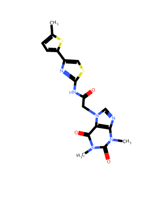 Cc1ccc(-c2csc(NC(=O)Cn3cnc4c3c(=O)n(C)c(=O)n4C)n2)s1